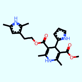 COC(=O)C1=C(C)NC(C)=C(C(=O)OCCc2cc(C)[nH]c2C)C1c1ccc[nH]1